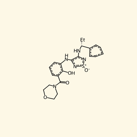 CC[C@@H](Nc1n[s+]([O-])nc1Nc1cccc(C(=O)N2CCOCC2)c1O)c1ccccc1